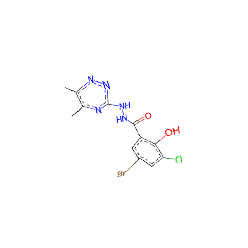 Cc1nnc(NNC(=O)c2cc(Br)cc(Cl)c2O)nc1C